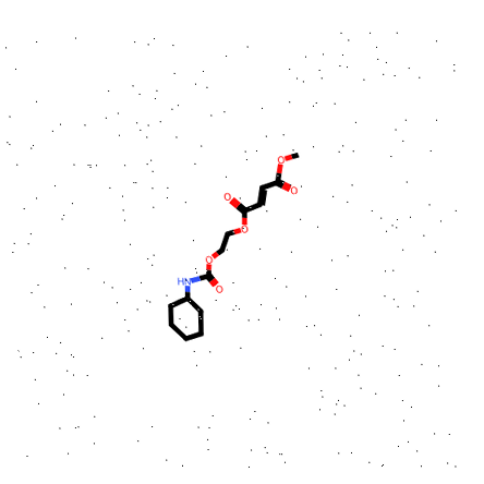 COC(=O)/C=C/C(=O)OCCOC(=O)NC1CCCCC1